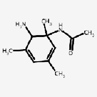 CC(=O)NC1(C)C=C(C)C=C(C)C1N